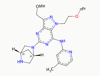 CCCOCCn1nc(COC)c2nc(N3C[C@@H]4C[C@H]3CN4)nc(Nc3cc(C)ccn3)c21